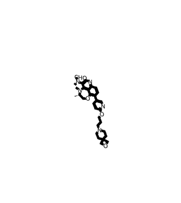 C[C@H]1COc2c(-c3ccc(OCCCN4CCC5(CC4)COC5)nc3)ccc3ncc(N(C)C=O)c(c23)N1C